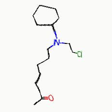 CC(=O)CCCCCN(CCCl)C1CCCCC1